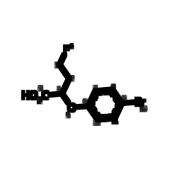 O=C(O)C(CCF)Oc1ccc(Br)cc1